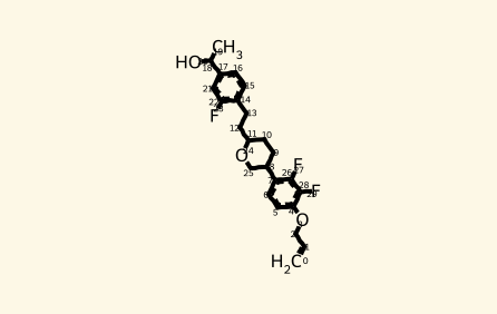 C=CCOc1ccc(C2CCC(CCc3ccc(C(C)O)cc3F)OC2)c(F)c1F